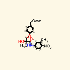 COCc1ccc(OCC(C)(O)C(=O)Nc2ccc([N+](=O)[O-])c(C)c2)cc1